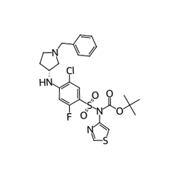 CC(C)(C)OC(=O)N(c1cscn1)S(=O)(=O)c1cc(Cl)c(N[C@@H]2CCN(Cc3ccccc3)C2)cc1F